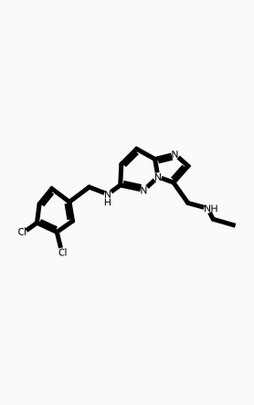 CCNCc1cnc2ccc(NCc3ccc(Cl)c(Cl)c3)nn12